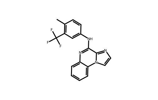 Cc1ccc(Nc2nc3ccccc3n3ccnc23)cc1C(F)(F)F